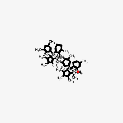 CC1=C(C)C(C)([Si](C)(c2cc(C)cc(C)c2)c2ccc(C)cc2C)[C]([Ti]([CH3])([CH3])[CH3])=C1C.CC1=C(C)C(C)([Si](C)(c2cc(C)cc(C)c2)c2cccc(C)c2C)[C]([Ti]([CH3])([CH3])[CH3])=C1C